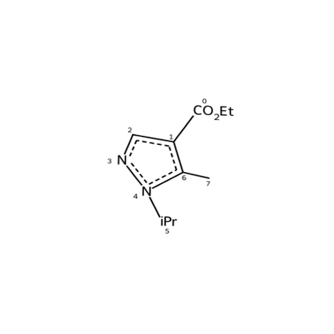 CCOC(=O)c1cnn(C(C)C)c1C